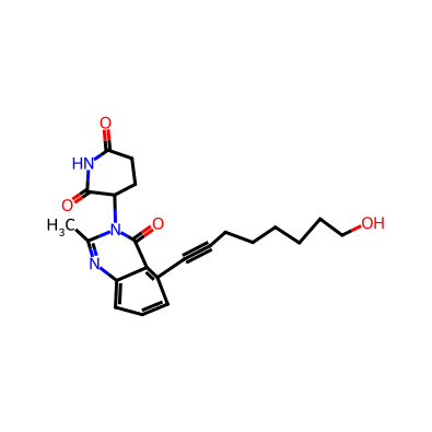 Cc1nc2cccc(C#CCCCCCCO)c2c(=O)n1C1CCC(=O)NC1=O